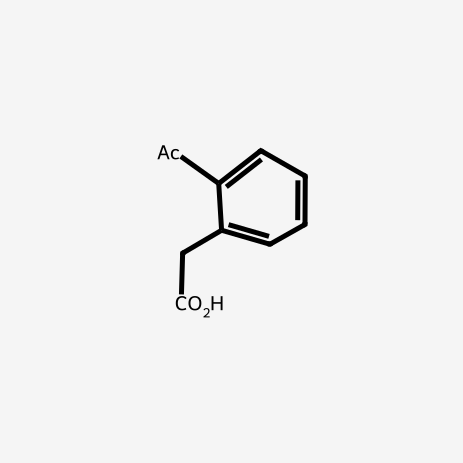 CC(=O)c1ccccc1CC(=O)O